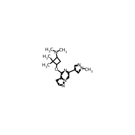 CN(C)C1CC(Oc2nc(-c3cnn(C)c3)cn3nccc23)C1(C)C